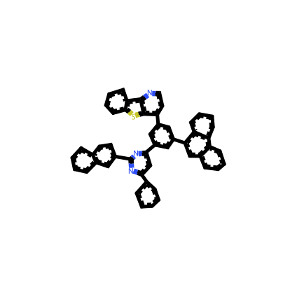 c1ccc(-c2cc(-c3cc(-c4cc5ccccc5c5ccccc45)cc(-c4ccnc5c4sc4ccccc45)c3)nc(-c3ccc4ccccc4c3)n2)cc1